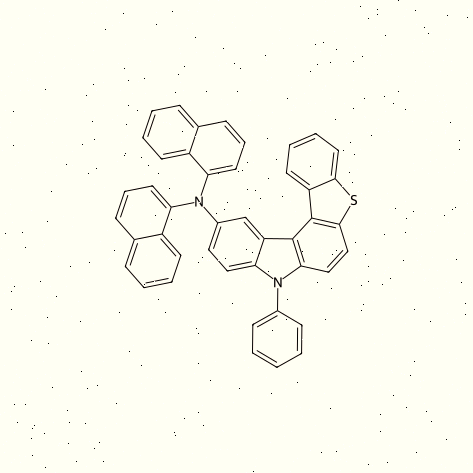 c1ccc(-n2c3ccc(N(c4cccc5ccccc45)c4cccc5ccccc45)cc3c3c4c(ccc32)sc2ccccc24)cc1